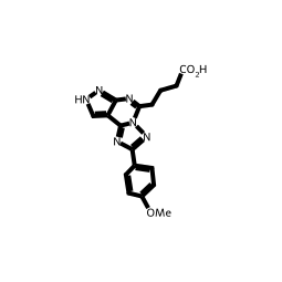 COc1ccc(-c2nc3c4c[nH]nc4nc(CCCC(=O)O)n3n2)cc1